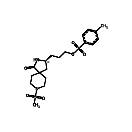 Cc1ccc(S(=O)(=O)OCCC[C@H]2CC3(CCN(S(C)(=O)=O)CC3)C(=O)N2)cc1